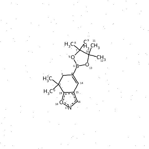 CC1(C)CC(B2OC(C)(C)C(C)(C)O2)=Cc2cnoc21